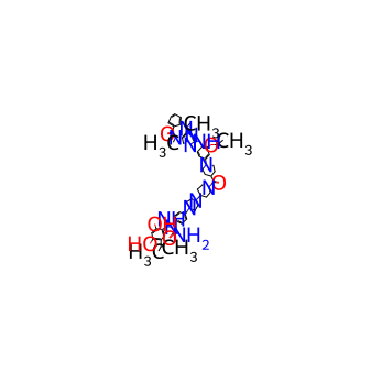 CCOc1cc(N2CCC(C(=O)N3CCC(N4CCN(c5ccc(N(C(=N)c6cc(C(C)C)c(O)cc6O)C(N)=O)cc5)CC4)CC3)CC2)ccc1Nc1ncc2c(n1)N(C)c1ccccc1C(=O)N2C